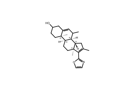 CC1=C(c2ncco2)[C@@]2(C)CC[C@@H]3[C@@H](C(C)C=C4CC(O)CC[C@@]43C)[C@@H]2C1